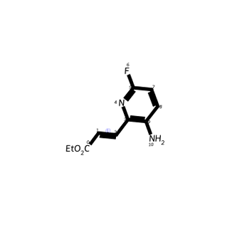 CCOC(=O)/C=C/c1nc(F)ccc1N